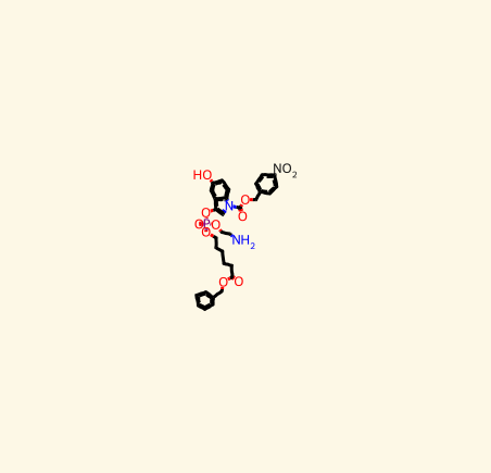 NCCOP(=O)(OCCCCCC(=O)OCc1ccccc1)Oc1cn(C(=O)OCc2ccc([N+](=O)[O-])cc2)c2ccc(O)cc12